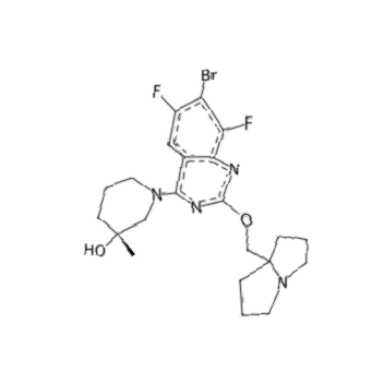 C[C@@]1(O)CCCN(c2nc(OCC34CCCN3CCC4)nc3c(F)c(Br)c(F)cc23)C1